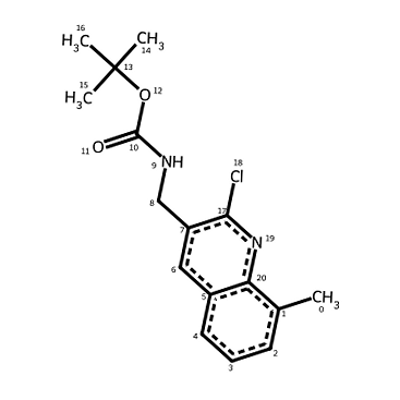 Cc1cccc2cc(CNC(=O)OC(C)(C)C)c(Cl)nc12